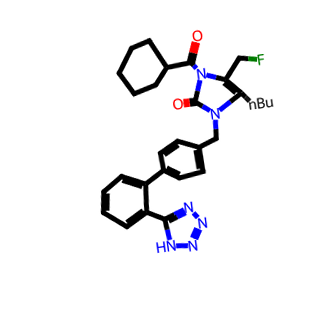 CCCCc1c(CF)n(C(=O)C2CCCCC2)c(=O)n1Cc1ccc(-c2ccccc2-c2nnn[nH]2)cc1